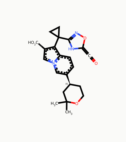 CC1(C)C[C@@H](c2ccc3c(C4(C5=NOC(=C=O)N5)CC4)c(C(=O)O)cn3c2)CCO1